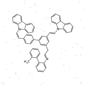 Cc1ccccc1-c1ccccc1/N=C/Cc1cc(/C=C/n2c3ccccc3c3ccccc32)cc(-c2ccc(/C=C\n3c4ccccc4c4ccccc43)cc2)c1